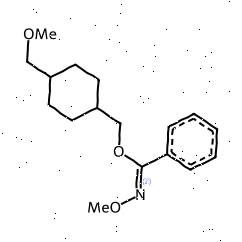 COCC1CCC(CO/C(=N\OC)c2ccccc2)CC1